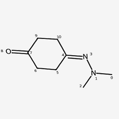 CN(C)N=C1CCC(=O)CC1